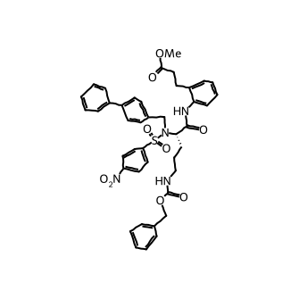 COC(=O)CCc1ccccc1NC(=O)[C@H](CCCNC(=O)OCc1ccccc1)N(Cc1ccc(-c2ccccc2)cc1)S(=O)(=O)c1ccc([N+](=O)[O-])cc1